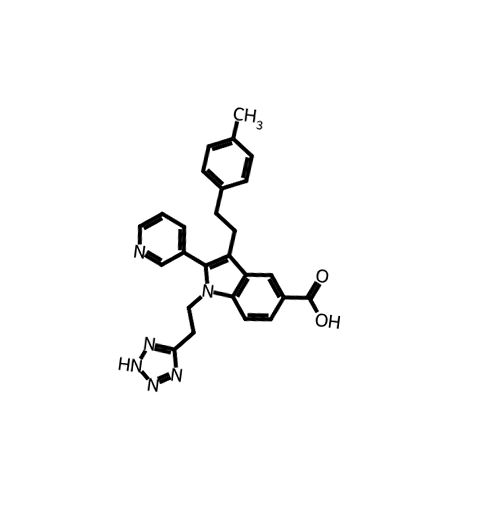 Cc1ccc(CCc2c(-c3cccnc3)n(CCc3nn[nH]n3)c3ccc(C(=O)O)cc23)cc1